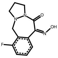 O=C1/C(=N\O)c2cccc(F)c2CN2CCCN12